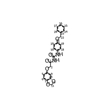 O=C(COc1ccc2c(c1)OCO2)NC(=O)Nc1ccc(OCc2ccccc2)cc1